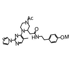 COc1ccc(CCNC(=O)CC2CN(C(C)=O)CCN2c2nc(-n3ccnc3)ncc2C)cc1